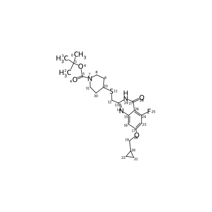 CC(C)(C)OC(=O)N1CCC(SCc2nc3cc(OCC4CC4)cc(F)c3c(=O)[nH]2)CC1